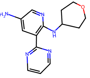 Nc1cnc(NC2CCOCC2)c(-c2ncccn2)c1